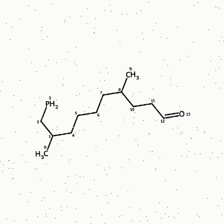 CC(CP)CCCCC(C)CCC=O